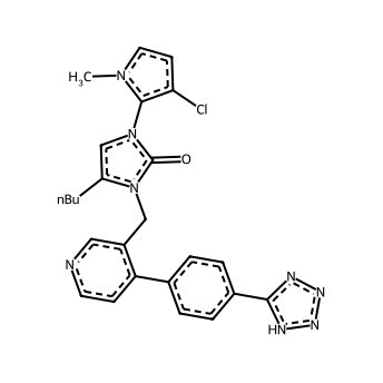 CCCCc1cn(-c2c(Cl)ccn2C)c(=O)n1Cc1cnccc1-c1ccc(-c2nnn[nH]2)cc1